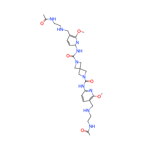 COc1nc(NC(=O)N2CC3(C2)CN(C(=O)Nc2ccc(CNCCNC(C)=O)c(OC)n2)C3)ccc1CNCCNC(C)=O